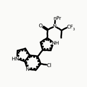 CCCN(C(=O)c1cc(-c2c(Cl)cnc3[nH]ccc23)c[nH]1)C(C)C(F)(F)F